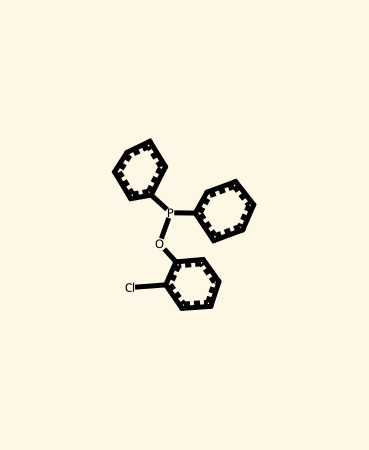 Clc1ccccc1OP(c1ccccc1)c1ccccc1